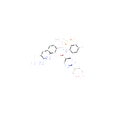 CS(=O)(=O)c1cc(F)ccc1N(Cc1ccc2cc(F)c(N)nc2c1)C(=O)c1cnc(C2CCOCC2)nc1